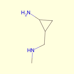 CNCC1CC1N